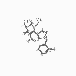 CCn1c(-c2cnn(Cc3ccccc3F)c2)c([N+](=O)[O-])c(=O)n(CC)c1=O